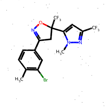 Cc1ccc(C2=NOC(c3cc(C(F)(F)F)nn3C)(C(F)(F)F)C2)cc1Br